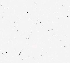 C[C@H]1CC(CC(=O)O)C[C@H](C)O1